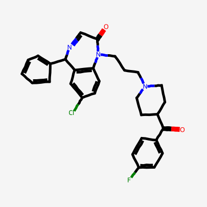 O=C(c1ccc(F)cc1)C1CCN(CCCN2C(=O)C=NC(c3ccccc3)c3cc(Cl)ccc32)CC1